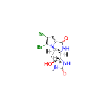 CN1C(=O)N[C@H]2[C@@H]3NC(=O)c4cc(Br)c(Br)n4[C@@H]3C[C@]21O